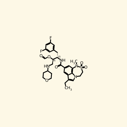 CCc1cn2c3c(cc(C(=O)N[C@@H](Cc4cc(F)cc(F)c4)[C@@H](CNC4CCOCC4)OC=O)cc13)N(C)S(=O)(=O)CC2